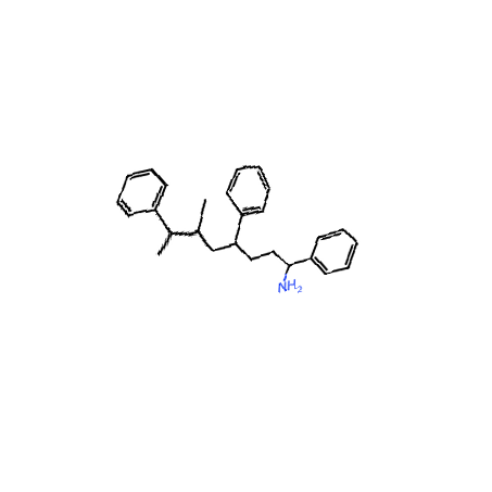 CC(CC(CCC(N)c1ccccc1)c1ccccc1)C(C)c1ccccc1